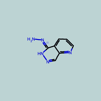 N/N=c1\[nH]ncc2ncccc12